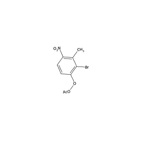 CC(=O)OOc1ccc([N+](=O)[O-])c(C)c1Br